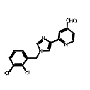 O=Cc1ccnc(-c2cn(Cc3cccc(Cl)c3Cl)cn2)c1